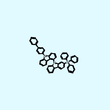 c1ccc(-c2ccc(-n3c4ccccc4c4c(-n5c6ccccc6c6ccc([Si](c7ccccc7)(c7ccccc7)c7ccccc7)cc65)cccc43)cc2)cc1